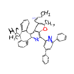 C=C/C=C\c1c(C)oc2c(-c3cc(-c4ccccc4)cc(-c4ccccc4)n3)nc3c(c12)-c1ccccc1C(C)(C)c1ccccc1-3